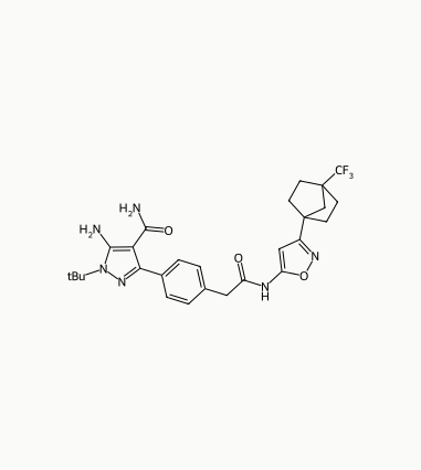 CC(C)(C)n1nc(-c2ccc(CC(=O)Nc3cc(C45CCC(C(F)(F)F)(CC4)C5)no3)cc2)c(C(N)=O)c1N